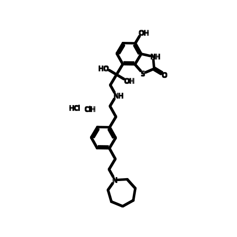 Cl.Cl.O=c1[nH]c2c(O)ccc(C(O)(O)CNCCc3cccc(CCN4CCCCCC4)c3)c2s1